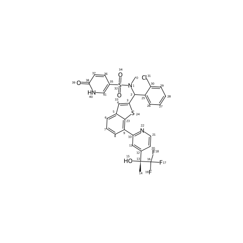 CN(C(c1cc2cccc(-c3cc([C@@](C)(O)C(F)(F)F)ccn3)c2s1)c1ccccc1Cl)S(=O)(=O)c1ccc(=O)[nH]c1